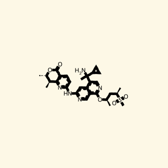 C[C@H](C[C@@H](C)S(C)(=O)=O)Oc1ncc(C(C)(N)C2CC2)c2cc(Nc3ccc4c(n3)[C@@H](C)[C@H](C)OC4=O)ncc12